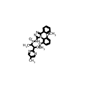 COc1cccc(OC)c1-n1c(N[S+]([O-])C(C)C(O)c2ncc(C)cn2)nnc1-c1ccccc1